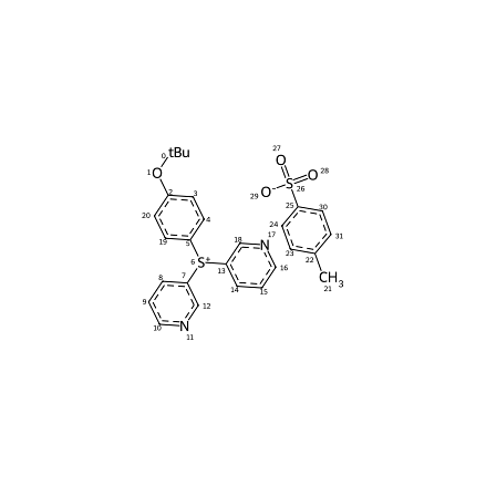 CC(C)(C)Oc1ccc([S+](c2cccnc2)c2cccnc2)cc1.Cc1ccc(S(=O)(=O)[O-])cc1